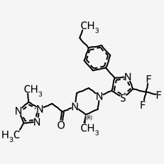 CCc1ccc(-c2nc(C(F)(F)F)sc2N2CCN(C(=O)Cn3nc(C)nc3C)[C@H](C)C2)cc1